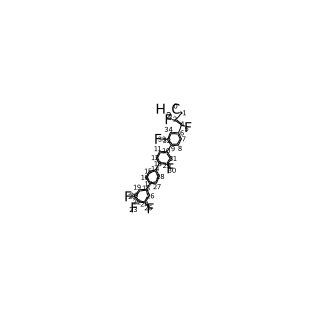 C=C/C(F)=C(\F)c1ccc(-c2ccc(-c3ccc(-c4cc(F)c(F)c(F)c4)cc3)c(F)c2)c(F)c1